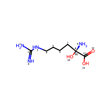 N=C(N)NCCCC[C@@](N)(O)C(=O)O